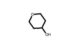 OC1[C]COCC1